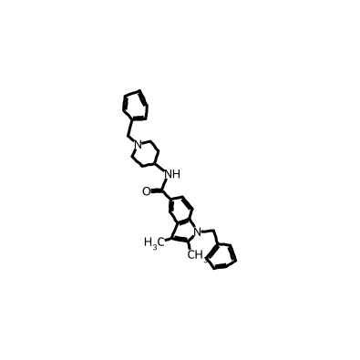 Cc1c(C)n(Cc2ccccc2)c2ccc(C(=O)NC3CCN(Cc4ccccc4)CC3)cc12